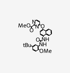 COC(=O)c1nccc(Oc2ccc(NC(=O)Nc3cc(C(C)(C)C)ccc3OC)c3ccccc23)n1